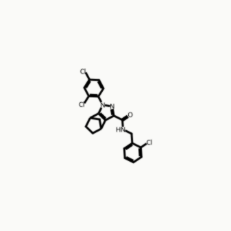 O=C(NCc1ccccc1Cl)c1nn(-c2ccc(Cl)cc2Cl)c2c1C1CCC2C1